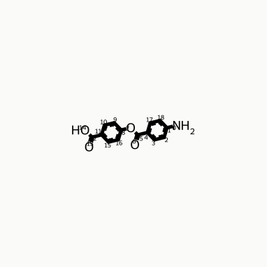 Nc1ccc(C(=O)Oc2ccc(C(=O)O)cc2)cc1